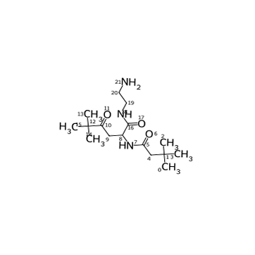 CC(C)(C)CC(=O)NC(CC(=O)C(C)(C)C)C(=O)NCCN